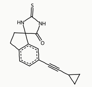 O=C1NC(=S)NC12CCc1ccc(C#CC3CC3)cc12